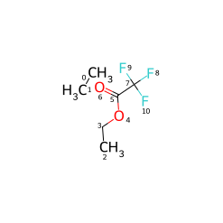 CC.CCOC(=O)C(F)(F)F